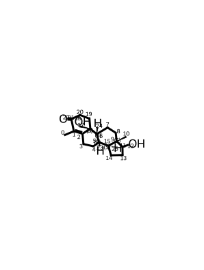 CC1=C2CC[C@@H]3[C@@H](CC[C@]4(C)C(O)CC[C@@H]34)[C@@]2(CO)CCC1=O